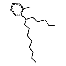 CCCCCCCCN(CCCCC)c1ccccc1C